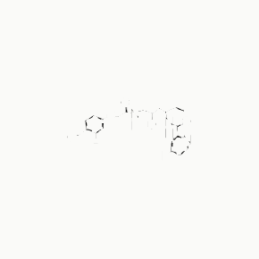 C=CC(CC(O)CNC(=O)COc1ccc(Cl)c(F)c1)NC(=O)c1cc(F)ccn1